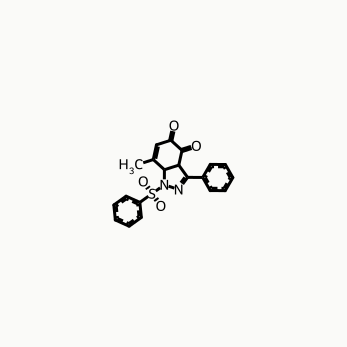 CC1=CC(=O)C(=O)C2C(c3ccccc3)=NN(S(=O)(=O)c3ccccc3)C12